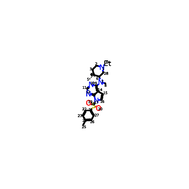 CCN1CC[C@@H](C)C(N(C)c2ncnc3c2ccn3S(=O)(=O)c2ccc(C)cc2)C1